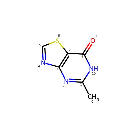 Cc1nc2ncsc2c(=O)[nH]1